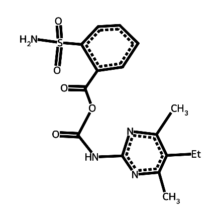 CCc1c(C)nc(NC(=O)OC(=O)c2ccccc2S(N)(=O)=O)nc1C